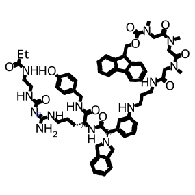 CCC(=O)NCCNC(=O)/N=C(/N)NCCC[C@@H](NC(=O)[C@H](c1cccc(NCCCNC(=O)CN(C)C(=O)CN(C)C(=O)CN(C)C(=O)OCC2c3ccccc3-c3ccccc32)c1)N1Cc2ccccc2C1)C(=O)NCc1ccc(O)cc1